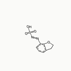 O=S(=O)(O)/N=N/c1cccc2c1OCC2